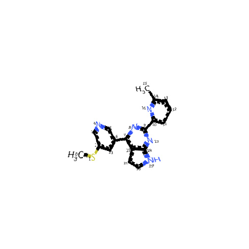 CSc1cncc(-c2nc(-c3cccc(C)n3)nc3[nH]ccc23)c1